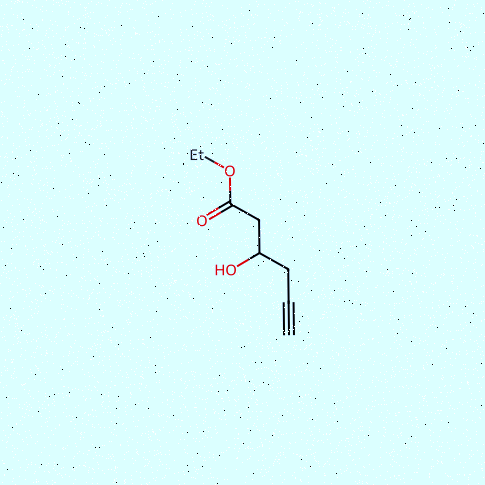 C#CCC(O)CC(=O)OCC